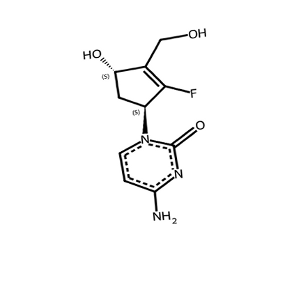 Nc1ccn([C@H]2C[C@H](O)C(CO)=C2F)c(=O)n1